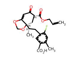 C=CCOC(=O)[C@@H]1C[C@]2([C@@H](C)Cc3cc(C(=O)O)c(C)cc3F)OCOC2=CC1=O